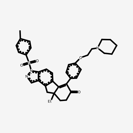 CCC12CCC(=O)C(c3ccc(OCCN4CCCCC4)cc3)=C1c1ccc3c(cnn3S(=O)(=O)c3ccc(C)cc3)c1C2